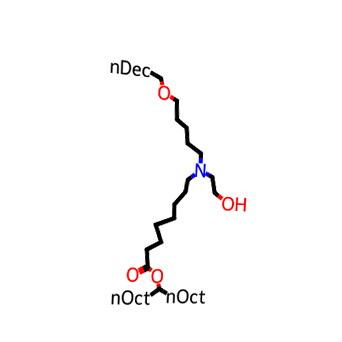 CCCCCCCCCCCOCCCCCN(CCO)CCCCCCCC(=O)OC(CCCCCCCC)CCCCCCCC